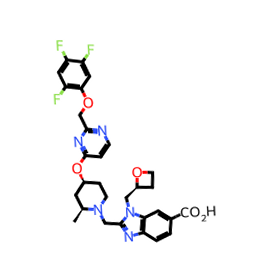 C[C@H]1C[C@@H](Oc2ccnc(COc3cc(F)c(F)cc3F)n2)CCN1Cc1nc2ccc(C(=O)O)cc2n1C[C@@H]1CCO1